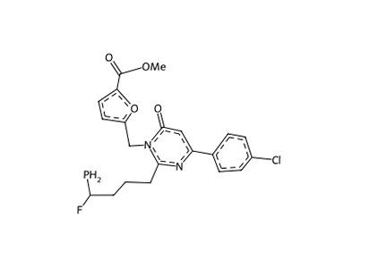 COC(=O)c1ccc(Cn2c(CCCC(F)P)nc(-c3ccc(Cl)cc3)cc2=O)o1